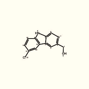 OCc1cc2c(cn1)[nH]c1ccc(Cl)cc12